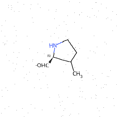 CC1CCN[C@@H]1[C]=O